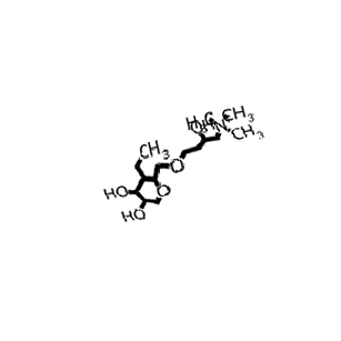 CCC1C(COCCC(O)C[N+](C)(C)C)OCC(O)C1O